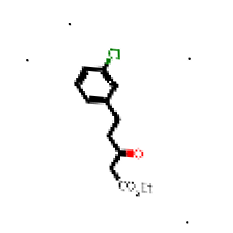 CCOC(=O)CC(=O)CCc1cccc(Cl)c1